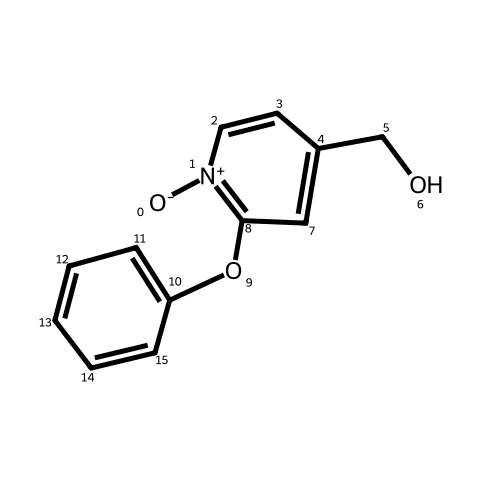 [O-][n+]1ccc(CO)cc1Oc1ccccc1